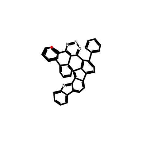 C1=c2c(ccc3c2=Nc2ccccc2-3)-c2ccc(-c3ccccc3)c(-c3nnnc(-c4ccccc4)c3-c3ccccc3-c3ccccc3)c21